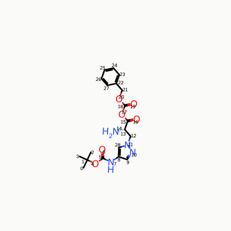 CC(C)(C)OC(=O)Nc1cnn(C[C@H](N)C(=O)OC(=O)OCc2ccccc2)c1